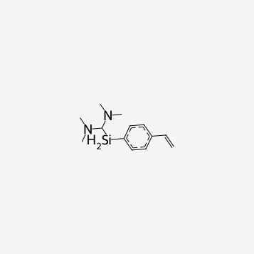 C=Cc1ccc([SiH2]C(N(C)C)N(C)C)cc1